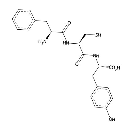 N[C@@H](Cc1ccccc1)C(=O)N[C@@H](CS)C(=O)N[C@@H](Cc1ccc(O)cc1)C(=O)O